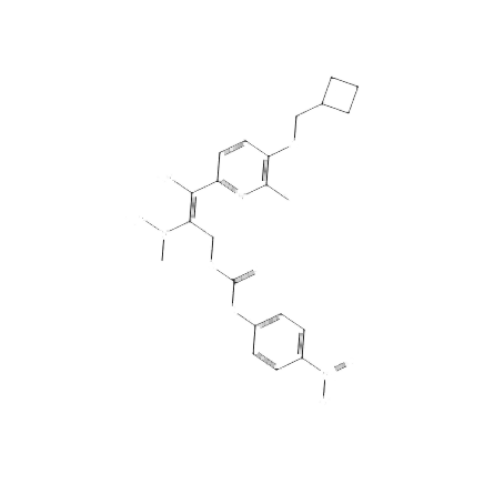 Cc1nc(/C(N)=C(\COC(=O)Oc2ccc([N+](=O)[O-])cc2)N(C)N)ccc1OCC1CCC1